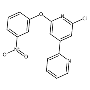 O=[N+]([O-])c1cccc(Oc2cc(-c3ccccn3)cc(Cl)n2)c1